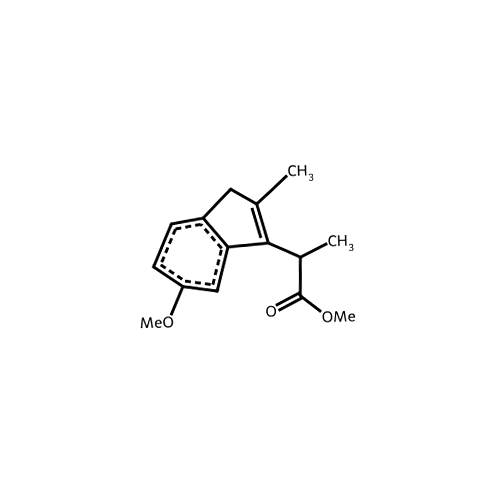 COC(=O)C(C)C1=C(C)Cc2ccc(OC)cc21